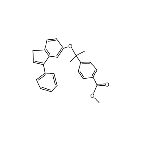 COC(=O)c1ccc(C(C)(C)Oc2ccc3c(c2)C(c2ccccc2)=CC3)cc1